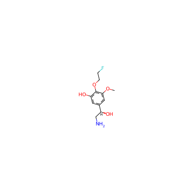 COc1cc([C@@H](O)CN)cc(O)c1OCCF